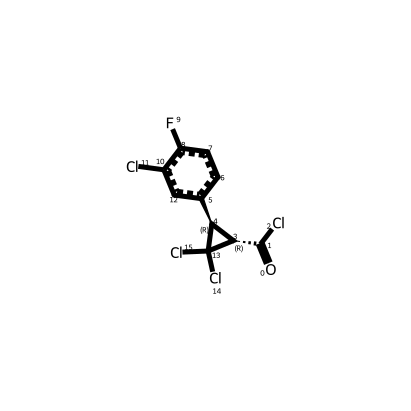 O=C(Cl)[C@H]1[C@H](c2ccc(F)c(Cl)c2)C1(Cl)Cl